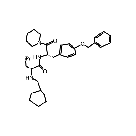 CC(C)C[C@H](NCC1CCCCC1)C(=O)N[C@@H](Cc1ccc(OCc2ccccc2)cc1)C(=O)N1CCCCC1